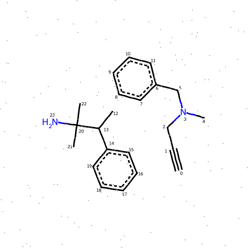 C#CCN(C)Cc1ccccc1.CC(c1ccccc1)C(C)(C)N